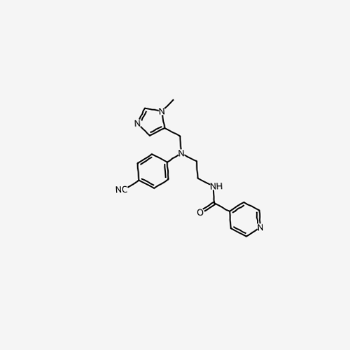 Cn1cncc1CN(CCNC(=O)c1ccncc1)c1ccc(C#N)cc1